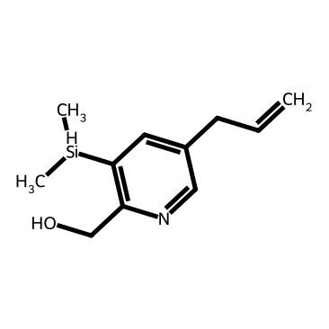 C=CCc1cnc(CO)c([SiH](C)C)c1